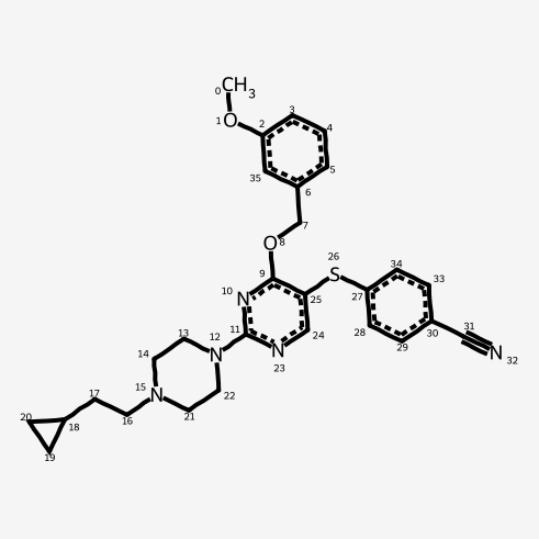 COc1cccc(COc2nc(N3CCN(CCC4CC4)CC3)ncc2Sc2ccc(C#N)cc2)c1